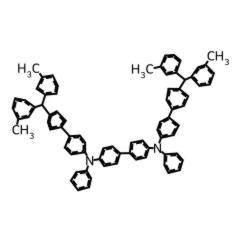 Cc1cccc(C(c2ccc(-c3ccc(N(c4ccccc4)c4ccc(-c5ccc(N(c6ccccc6)c6ccc(-c7ccc(C(c8cccc(C)c8)c8cccc(C)c8)cc7)cc6)cc5)cc4)cc3)cc2)c2cccc(C)c2)c1